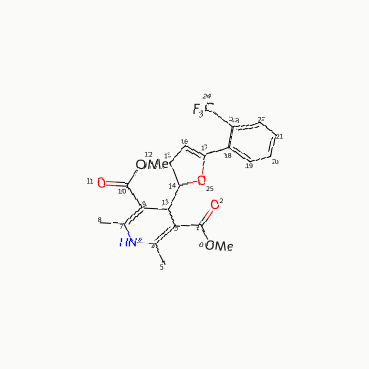 COC(=O)C1=C(C)NC(C)=C(C(=O)OC)C1C1CC=C(c2ccccc2C(F)(F)F)O1